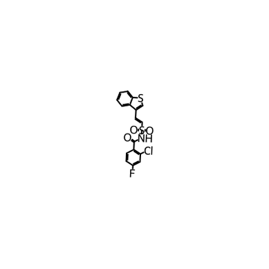 O=C(NS(=O)(=O)C=Cc1csc2ccccc12)c1ccc(F)cc1Cl